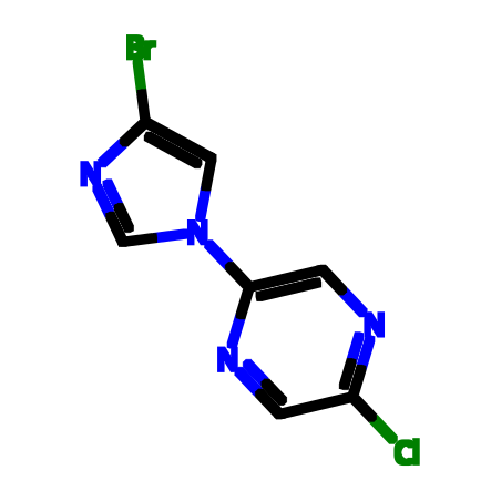 Clc1cnc(-n2cnc(Br)c2)cn1